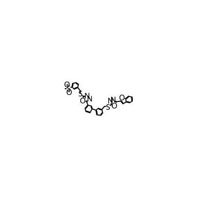 CS(=O)(=O)c1cccc(CSc2nnc(-c3cccc(-c4cccc(CSc5nnc(-c6cc7ccccc7o6)o5)c4)c3)o2)c1